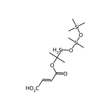 CC(C)(OC(=O)C=CC(=O)O)[SiH2]O[Si](C)(C)O[Si](C)(C)C